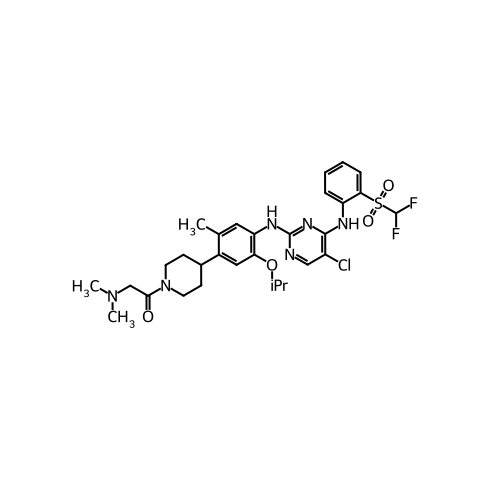 Cc1cc(Nc2ncc(Cl)c(Nc3ccccc3S(=O)(=O)C(F)F)n2)c(OC(C)C)cc1C1CCN(C(=O)CN(C)C)CC1